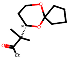 CCC(=O)C(C)(C)[C@@H]1CCOC2(CCCC2)O1